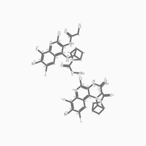 CC(C)(C)OC(=O)N1CC2CC1C2N1CC(=O)Nc2c(Cl)nc3c(F)c(Br)c(I)cc3c21.CC(C)(C)OC(=O)N1CC2CC1C2Nc1c(NC(=O)CCl)c(Cl)nc2c(F)c(Br)c(I)cc12